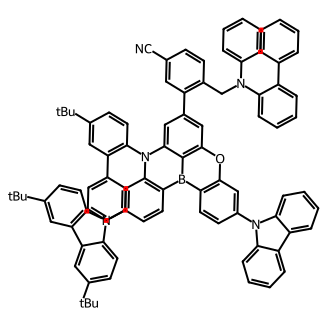 CC(C)(C)c1ccc(N2c3cc(-n4c5ccc(C(C)(C)C)cc5c5cc(C(C)(C)C)ccc54)ccc3B3c4ccc(-n5c6ccccc6c6ccccc65)cc4Oc4cc(-c5cc(C#N)ccc5CN(c5ccccc5)c5ccccc5-c5ccccc5)cc2c43)c(-c2ccccc2)c1